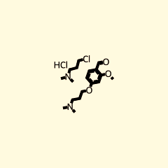 CN(C)CCCCl.COc1cc(OCCCN(C)C)ccc1C=O.Cl